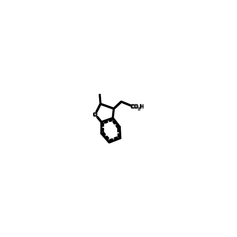 CC1Oc2ccccc2C1CC(=O)O